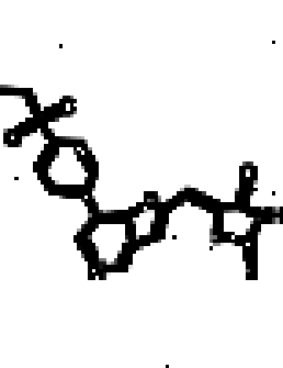 CCS(=O)(=O)c1ccc(-c2cncc3cc(/C=C4\SC(=S)NC4=O)oc23)cc1